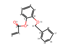 C=CC(=O)Oc1ccccc1OCc1ccccc1